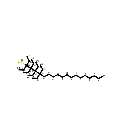 CCCCCCCCCCCCCCC(CC)(CC)C(CC)(CC)C(CC)(CC)C(S)(CC)CC